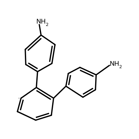 Nc1ccc(-c2[c]cccc2-c2ccc(N)cc2)cc1